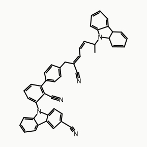 CC(/C=C\C=C(\C#N)Cc1ccc(-c2cccc(-n3c4ccccc4c4cc(C#N)ccc43)c2C#N)cc1)N1c2ccccc2C2C=CC=CC21